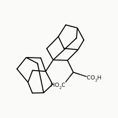 O=C(O)C(C(=O)O)C1C2CC3CC(C2)CC1(C12CC4CC(CC(C4)C1)C2)C3